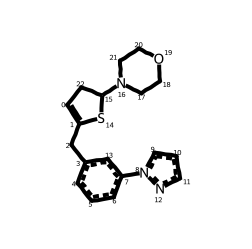 C1=C(Cc2cccc(-n3cccn3)c2)SC(N2CCOCC2)C1